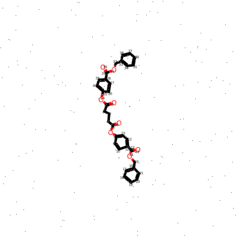 O=C(CCCC(=O)Oc1ccc(C(=O)OCc2ccccc2)cc1)Oc1ccc(C(=O)OCc2ccccc2)cc1